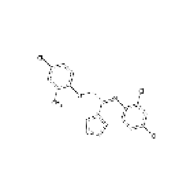 Cc1cc(Cl)ccc1OCC(=Nc1ccc(Cl)cc1Cl)n1ccnc1